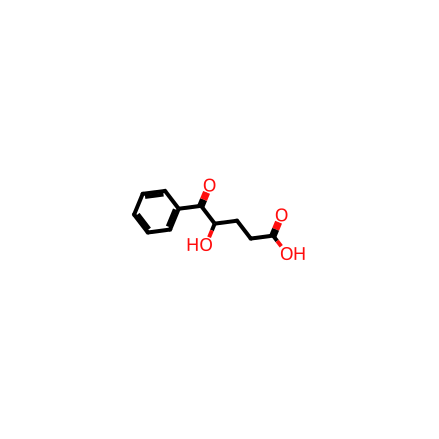 O=C(O)CCC(O)C(=O)c1ccccc1